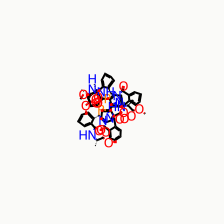 COC(=O)[C@H](C)NC(=O)c1ccccc1C1n2c(=O)c3ccccc3c(=O)n2[C@H](c2ccccc2C(=O)N[C@@H](C)C(=O)OC)P1c1ccccc1P1[C@@H](c2ccccc2C(=O)N[C@@H](C)C(=O)OC)n2c(=O)c3ccccc3c(=O)n2[C@@H]1c1ccccc1C(=O)N[C@@H](C)C(=O)OC